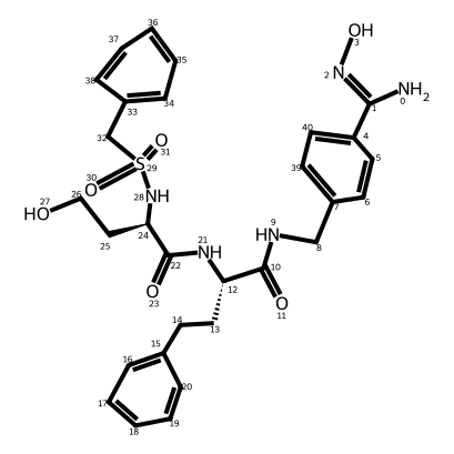 N/C(=N\O)c1ccc(CNC(=O)[C@H](CCc2ccccc2)NC(=O)[C@@H](CCO)NS(=O)(=O)Cc2ccccc2)cc1